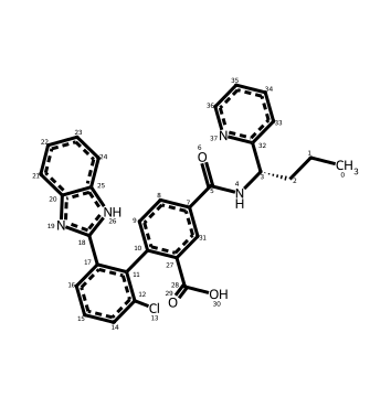 CCC[C@H](NC(=O)c1ccc(-c2c(Cl)cccc2-c2nc3ccccc3[nH]2)c(C(=O)O)c1)c1ccccn1